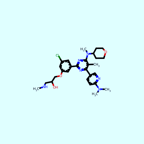 CNCC(O)COc1cc(Cl)cc(-c2nc(-c3ccc(N(C)C)nc3)c(C)c(N(C)C3CCOCC3)n2)c1